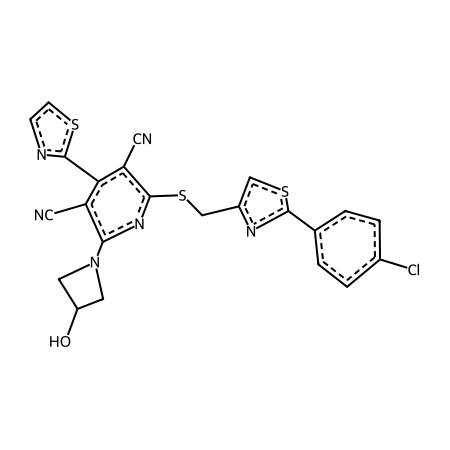 N#Cc1c(SCc2csc(-c3ccc(Cl)cc3)n2)nc(N2CC(O)C2)c(C#N)c1-c1nccs1